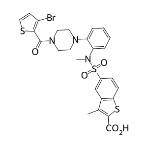 Cc1c(C(=O)O)sc2ccc(S(=O)(=O)N(C)c3ccccc3N3CCN(C(=O)c4sccc4Br)CC3)cc12